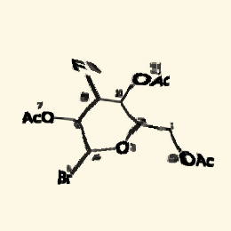 CC(=O)OCC1OC(Br)C(OC(C)=O)C(F)C1OC(C)=O